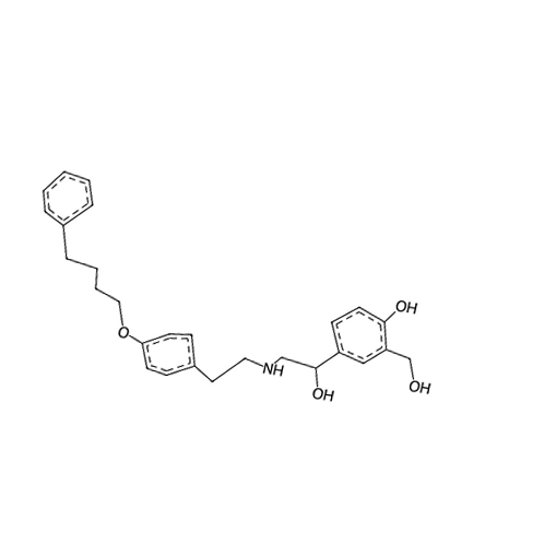 OCc1cc(C(O)CNCCc2ccc(OCCCCc3ccccc3)cc2)ccc1O